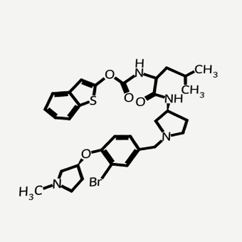 CC(C)CC(NC(=O)Oc1cc2ccccc2s1)C(=O)N[C@H]1CCN(Cc2ccc(O[C@H]3CCN(C)C3)c(Br)c2)C1